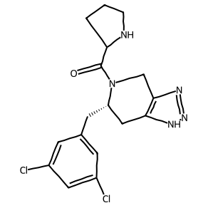 O=C(C1CCCN1)N1Cc2nn[nH]c2C[C@@H]1Cc1cc(Cl)cc(Cl)c1